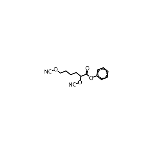 N#COCCCCC(OC#N)C(=O)Oc1ccccc1